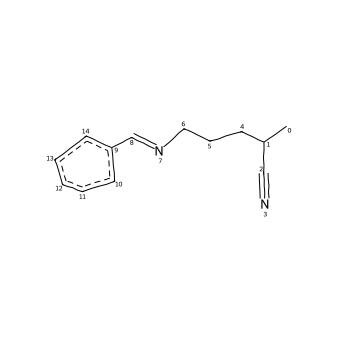 CC(C#N)CCC/N=C/c1ccccc1